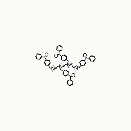 C[N+](C)(CC[N+](C)(CC[N+](C)(CC[N+](C)(C)Cc1ccc(C(=O)c2ccccc2)cc1)Cc1ccc(C(=O)c2ccccc2)cc1)Cc1ccc(C(=O)c2ccccc2)cc1)Cc1ccc(C(=O)c2ccccc2)cc1